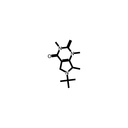 C=C1N(C)C(=O)C2=C(C(C)N(C(C)(C)C)C2)N1C